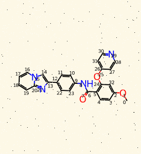 COc1ccc(C(=O)Nc2ccc(-c3cn4ccccc4n3)cc2)c(Oc2ccncc2)c1